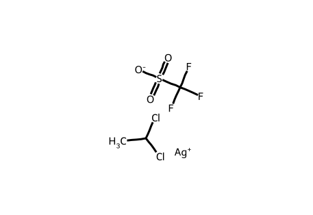 CC(Cl)Cl.O=S(=O)([O-])C(F)(F)F.[Ag+]